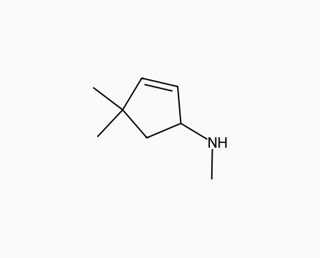 CNC1C=CC(C)(C)C1